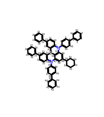 c1ccc(-c2ccc(N3c4ccc(-c5ccccc5)cc4B4c5cc(-c6ccccc6)ccc5N(c5ccc(-c6ccccc6)cc5)c5cc(C6CCCCC6)cc3c54)cc2)cc1